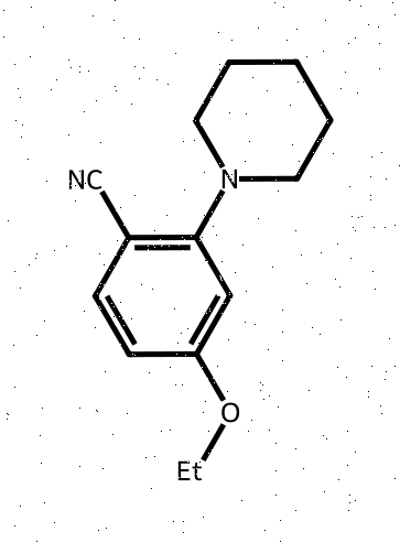 CCOc1ccc(C#N)c(N2CCCCC2)c1